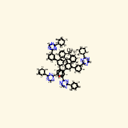 CC1(C)c2ccccc2C(c2cc(-c3cccc(-c4ncnc(-c5ccccc5)n4)c3)cc(-c3cccc(-c4ncnc(-c5ccccc5)n4)c3)c2)(c2cc(-c3cccc(-c4ncnc(-c5ccccc5)n4)c3)cc(-c3cccc(-c4ncnc(-c5ccccc5)n4)c3)c2)c2ccccc21